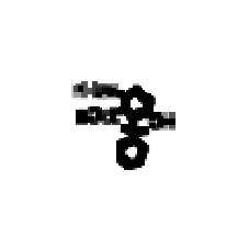 CCCCCCCCc1c(CCCCCC)ccc(O)c1C(C)(C)c1ccccc1